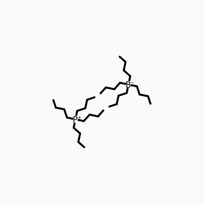 CCCC[B-](CCCC)(CCCC)CCCC.CCCC[P+](CCCC)(CCCC)CCCC